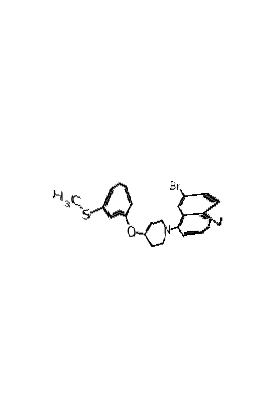 CSc1cccc(OC2CCN(c3ccnc4ccc(Br)cc34)CC2)c1